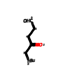 CCCCCC(=O)CCC=O